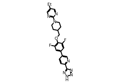 CCc1cnc(N2CCC(COc3c(F)cc(-c4ccc(-c5nn[nH]n5)nc4)cc3F)CC2)nc1